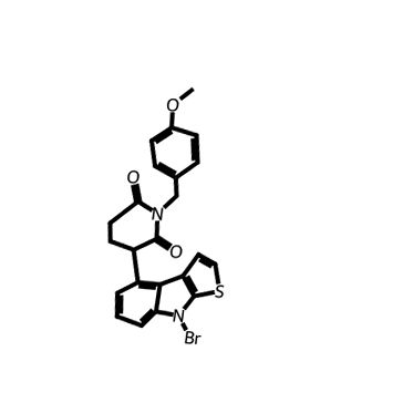 COc1ccc(CN2C(=O)CCC(c3cccc4c3c3ccsc3n4Br)C2=O)cc1